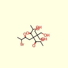 CC(Br)C(=O)CC(C(=O)C(C)Br)(C(=O)C(C)Br)C(CO)(CO)CO